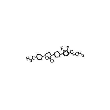 CCOc1ccc(C2CCC(C3CCC(C4CCC(C)CC4)OC3=O)CC2)c(F)c1F